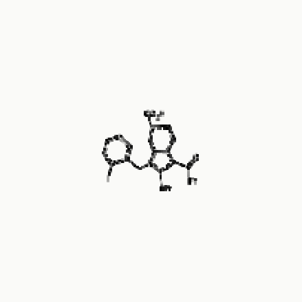 CCCc1c(C(=O)C(C)C)c2ccc(C(=O)O)cc2n1Cc1ccccc1I